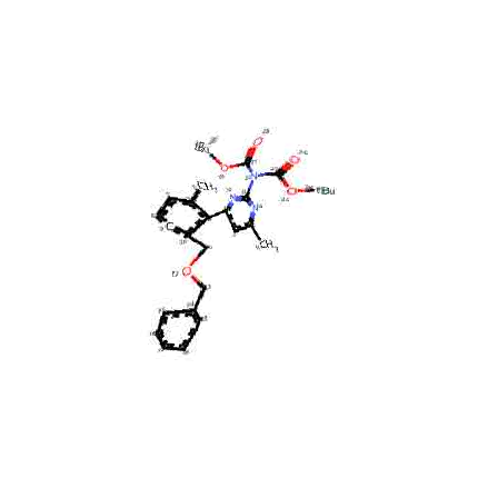 Cc1cc(-c2c(C)cccc2COCc2ccccc2)nc(N(C(=O)OC(C)(C)C)C(=O)OC(C)(C)C)n1